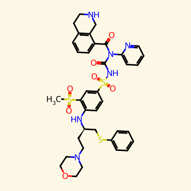 CS(=O)(=O)c1cc(S(=O)(=O)NC(=O)N(C(=O)c2cccc3c2CNCC3)c2ccccn2)ccc1N[C@H](CCN1CCOCC1)CSc1ccccc1